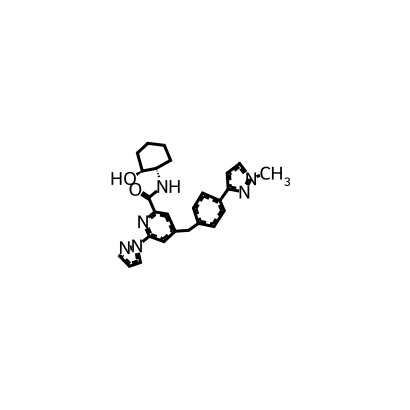 Cn1ccc(-c2ccc(Cc3cc(C(=O)N[C@H]4CCCC[C@@H]4O)nc(-n4cccn4)c3)cc2)n1